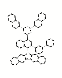 c1ccc(-c2cccc(-c3cc(-c4nc(-c5ccc6ccccc6c5)nc(-c5ccc6ccccc6c5)n4)c4ccccc4c3-n3c4cc5ccccc5cc4c4cc5ccccc5cc43)c2)cc1